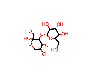 OCC1O[C@H](O[C@H]2[C@@H](O)C(O)COC2(O)CO)C(O)[C@H](O)[C@@H]1O